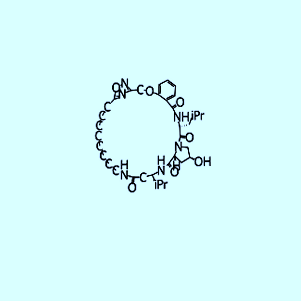 CC(C)C[C@H]1NC(=O)c2ccccc2OCc2noc(n2)CCCCCCCCNC(=O)C[C@H](C(C)C)NC(=O)[C@H]2C[C@H](O)CN2C1=O